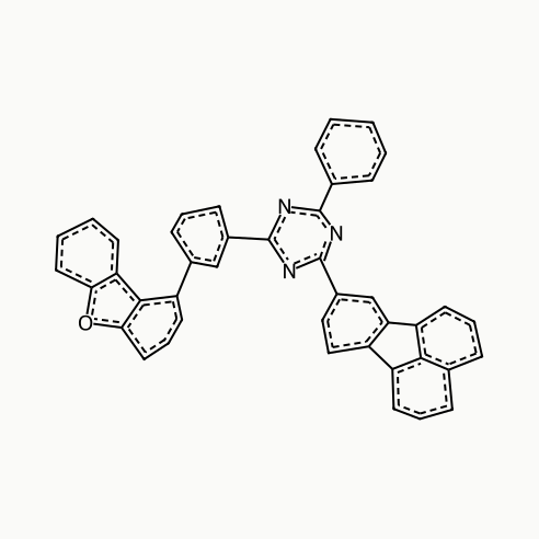 c1ccc(-c2nc(-c3cccc(-c4cccc5oc6ccccc6c45)c3)nc(-c3ccc4c(c3)-c3cccc5cccc-4c35)n2)cc1